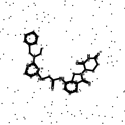 CCN(Cc1ccccc1)c1nccc(NCC(=O)Nc2cccc3c2CN(C2CCC(=O)NC2=O)C3=O)n1